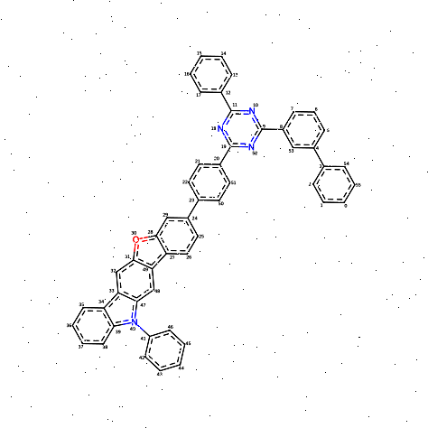 c1ccc(-c2cccc(-c3nc(-c4ccccc4)nc(-c4ccc(-c5ccc6c(c5)oc5cc7c8ccccc8n(-c8ccccc8)c7cc56)cc4)n3)c2)cc1